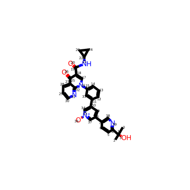 CC(C)(O)c1ccc(-c2cc(-c3cccc(-n4cc(C(=O)NC5CC5)c(=O)c5cccnc54)c3)c[n+]([O-])c2)cn1